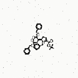 CC(C)(C)OC(=O)[C@@H]1CCC(=C(CC(=O)OCc2ccccc2)C(=O)OCc2ccccc2)N1Cc1ccccc1